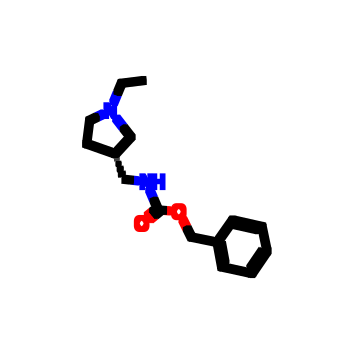 CCN1CC[C@@H](CNC(=O)OCc2ccccc2)C1